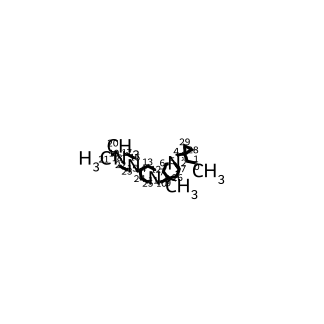 CCCC1(CN2CCC(C)(CN3CCC(N4CCN(C(C)C)CC4)CC3)CC2)CC1